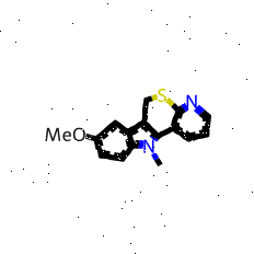 COc1ccc2c(c1)c1c(n2C)-c2cccnc2SC1